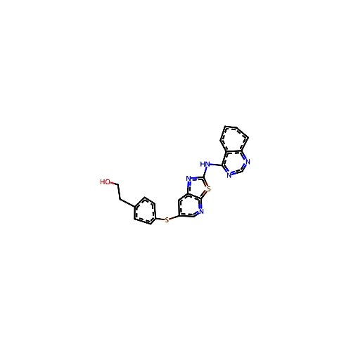 OCCc1ccc(Sc2cnc3sc(Nc4ncnc5ccccc45)nc3c2)cc1